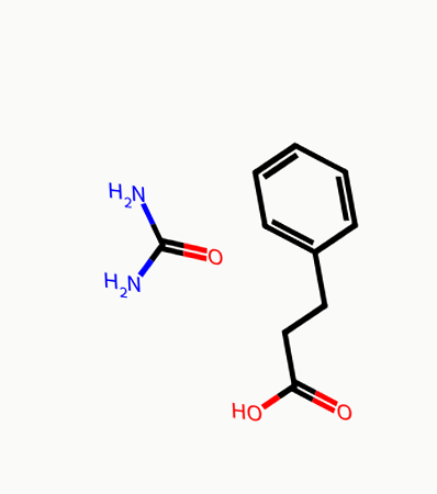 NC(N)=O.O=C(O)CCc1ccccc1